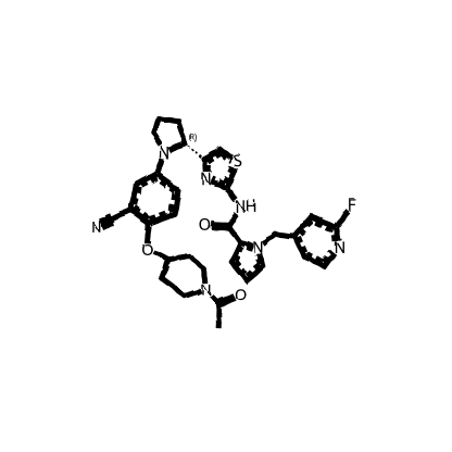 CC(=O)N1CCC(Oc2ccc(N3CCC[C@@H]3c3csc(NC(=O)c4cccn4Cc4ccnc(F)c4)n3)cc2C#N)CC1